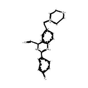 O=CC1NC(c2ccc(F)cc2)=Nc2ccc(CN3CCOCC3)cc21